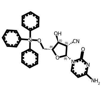 N#C[C@H]1[C@H](O)[C@@H](CO[Si](c2ccccc2)(c2ccccc2)c2ccccc2)O[C@H]1n1ccc(N)nc1=O